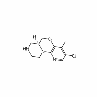 Cc1c(Cl)cnc2c1OC[C@@H]1CNCCN21